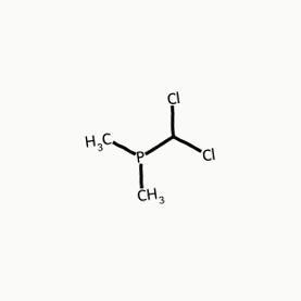 CP(C)C(Cl)Cl